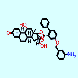 C[C@]12C=CC(=O)C=C1CC[C@@H]1[C@@H]2[C@@H](O)C[C@@]2(C)[C@H]1C[C@H]1O[C@@H](c3cc(OCc4cccc(N)c4)ccc3-c3ccccc3)O[C@]12C(=O)CO